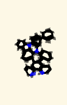 C1=Cc2c3c(c4cccnc4c2NC1)-c1ccccc1N(c1cccc(-c2ccccc2)c1)c1c-3ccc2c3ccccc3n(-c3ccccc3)c12